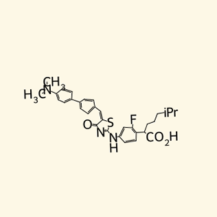 CC(C)CCCC(C(=O)O)c1ccc(NC2=NC(=O)/C(=C\c3ccc(-c4ccc(N(C)C)cc4)cc3)S2)cc1F